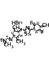 Br.CCN(C)C=Nc1cc(C)c(Cc2nc(-c3cc(F)c(C)cc3F)cs2)cc1C